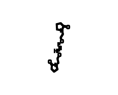 O=C1CCCN1CCOP=NPOCCN1CCCC1=O